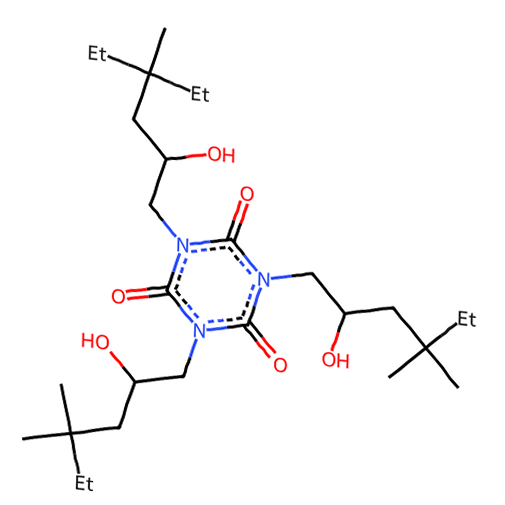 CCC(C)(C)CC(O)Cn1c(=O)n(CC(O)CC(C)(C)CC)c(=O)n(CC(O)CC(C)(CC)CC)c1=O